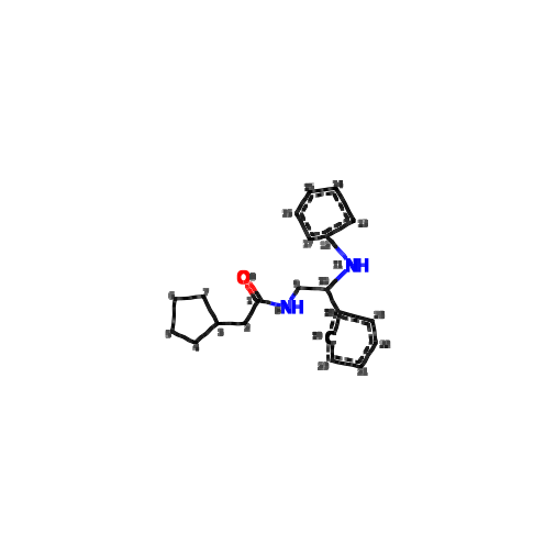 O=C(CC1CCCC1)NCC(Nc1ccccc1)c1ccccc1